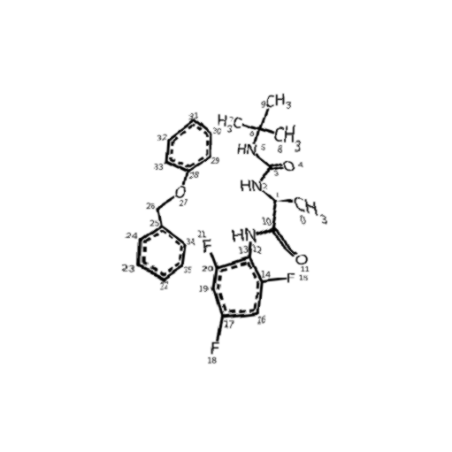 C[C@H](NC(=O)NC(C)(C)C)C(=O)Nc1c(F)cc(F)cc1F.c1ccc(COc2ccccc2)cc1